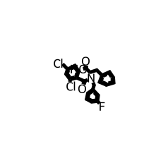 O=C(O)C(Cc1ccccc1)N(Cc1cccc(F)c1)C(=O)c1ccc(Cl)cc1Cl